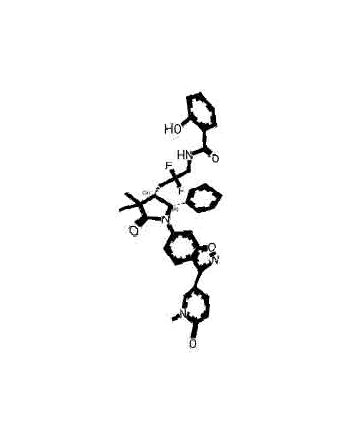 Cn1cc(-c2noc3cc(N4C(=O)C(C)(C)[C@H](CC(F)(F)CNC(=O)c5ccccc5O)[C@@H]4c4ccccc4)ccc23)ccc1=O